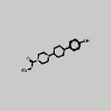 CC(C)(C)OC(=O)N1CCN(C2CCC(c3ccc(O)cc3)CC2)CC1